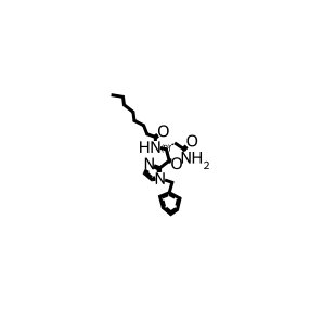 CCCCCCCC(=O)N[C@H](CC(N)=O)C(=O)c1nccn1Cc1ccccc1